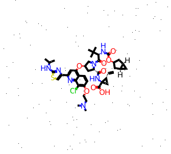 C=C[C@@H]1C[C@]1(NC(=O)[C@@H]1C[C@@H](Oc2cc(-c3csc(NC(C)C)n3)nc3c(Cl)c(OCCN(C)C)ccc23)CN1C(=O)[C@@H](NC(=O)O[C@@H]1C[C@@H]2C[C@@H]2C1)C(C)(C)C)C(=O)O